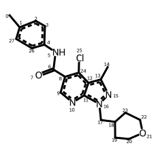 Cc1ccc(NC(=O)c2cnc3c(c(C)nn3CC3CCOCC3)c2Cl)cc1